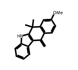 C=C1c2ccc(OC)cc2C(C)(C)c2[nH]c3ccccc3c21